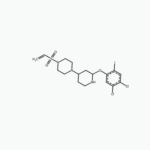 C=CS(=O)(=O)N1CCN(C2CCNC(Oc3cc(Cl)c(Cl)cc3I)C2)CC1